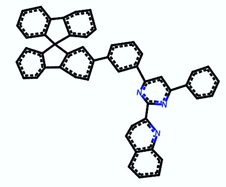 c1ccc(-c2cc(-c3cccc(-c4ccc5c(c4)C4(c6ccccc6-c6ccccc64)c4ccccc4-5)c3)nc(-c3ccc4ccccc4n3)n2)cc1